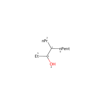 [CH2]CCCCC(CCC)C(O)CC